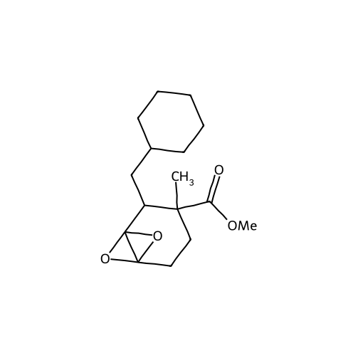 COC(=O)C1(C)CCC23OC2(O3)C1CC1CCCCC1